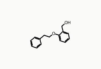 OCc1ccccc1OCCc1ccccc1